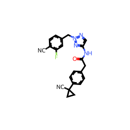 N#Cc1ccc(Cn2ncc(NC(=O)Cc3ccc(C4(C#N)CC4)cc3)n2)cc1F